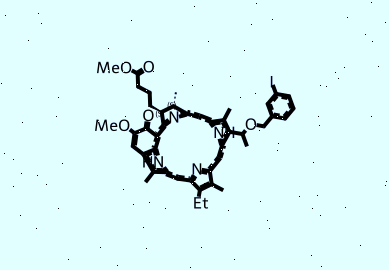 CCC1=C(C)c2cc3[nH]c(cc4nc(c5c6[nH]c(cc1n2)c(C)c6C=C(OC)C5=O)[C@@H](CCCC(=O)OC)[C@@H]4C)c(C)c3C(C)OCc1cccc(I)c1